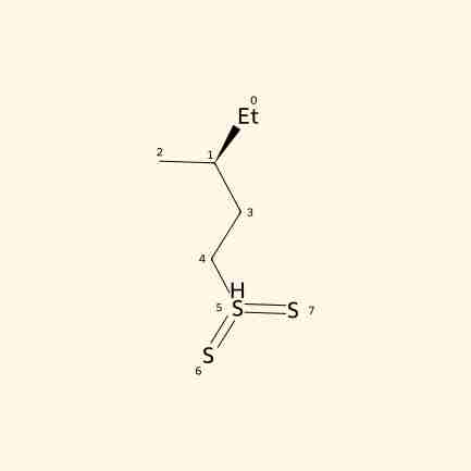 CC[C@H](C)CC[SH](=S)=S